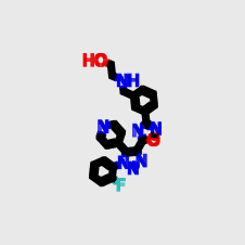 OCCNCc1cccc(-c2noc(-c3nnn(-c4ccccc4F)c3-c3ccncc3)n2)c1